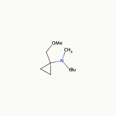 COCC1(N(C)C(C)(C)C)CC1